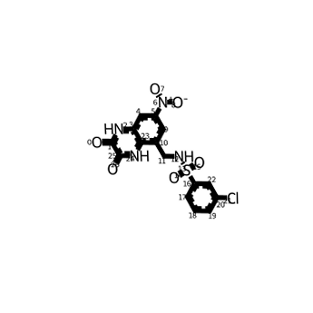 O=c1[nH]c2cc([N+](=O)[O-])cc(CNS(=O)(=O)c3cccc(Cl)c3)c2[nH]c1=O